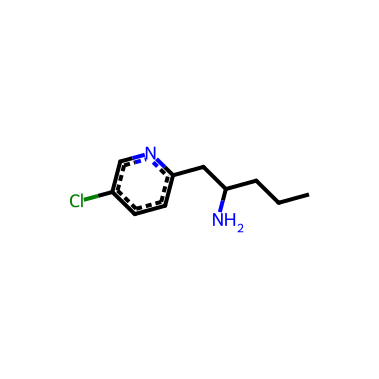 CCCC(N)Cc1ccc(Cl)cn1